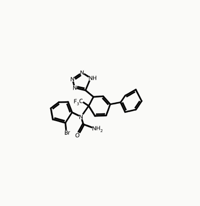 NC(=O)N(c1ccccc1Br)C1(C(F)(F)F)C=CC(c2ccccc2)=CC1c1nnn[nH]1